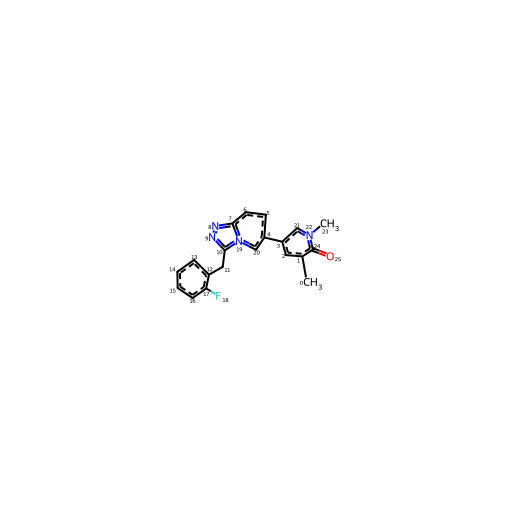 Cc1cc(-c2ccc3nnc(Cc4ccccc4F)n3c2)cn(C)c1=O